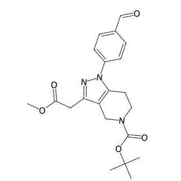 COC(=O)Cc1nn(-c2ccc(C=O)cc2)c2c1CN(C(=O)OC(C)(C)C)CC2